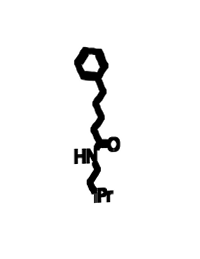 CC(C)CCNC(=O)CCCCc1ccccc1